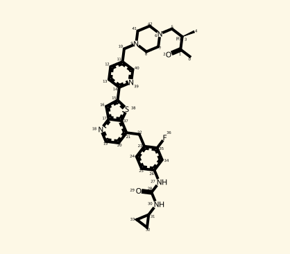 CC(=O)[C@H](C)CN1CCN(Cc2ccc(-c3cc4nccc(Cc5ccc(NC(=O)NC6CC6)cc5F)c4s3)nc2)CC1